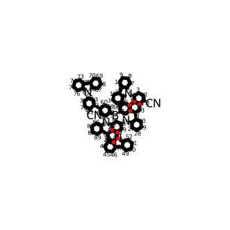 N#Cc1ccc(-n2c3ccccc3c3ccccc32)c(-c2ccc3c(c2)N(c2ccccc2-c2ccccc2)c2cc(-n4c5ccccc5c5ccccc54)cc4c2B3c2ccc(-c3cc(-n5c6ccccc6c6ccccc65)ccc3C#N)cc2N4c2ccccc2-c2ccccc2)c1